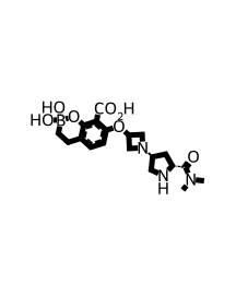 CN(C)C(=O)[C@H]1C[C@@H](N2CC(Oc3ccc4c(c3C(=O)O)O[B-](O)(O)CC4)C2)CN1